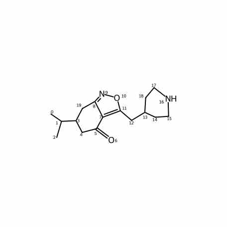 CC(C)C1CC(=O)c2c(noc2CC2CCNCC2)C1